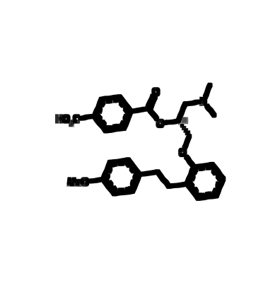 COc1ccc(CCc2ccccc2OC[C@@H](CN(C)C)OC(=O)c2ccc(C(=O)O)cc2)cc1